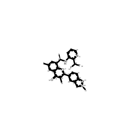 Cc1cc([C@@H](C)Nc2cccnc2C(F)F)c2oc(-c3ccc4nn(C)cc4c3)c(C)c(=O)c2c1